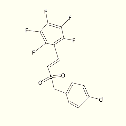 O=S(=O)(/C=C/c1c(F)c(F)c(F)c(F)c1F)Cc1ccc(Cl)cc1